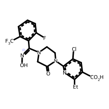 CCc1nc(N2CCN(/C(=N\O)c3c(F)cccc3C(F)(F)F)CC2=O)c(Cl)cc1C(=O)O